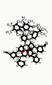 Bc1c(C)c(C)c2c3c(C)c(C)c(C)c(C)c3n(-c3ccc4c(c3)N(c3ccc(C(C)(C)C)cc3C)c3cc(-c5cc(C#N)ccc5-n5c6ccccc6c6ccccc65)cc5c3B4c3ccc(-c4cc(C#N)ccc4N(C4=CCC(C)C=C4)c4ccccc4)cc3C5)c2c1B